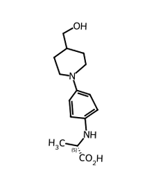 C[C@H](Nc1ccc(N2CCC(CO)CC2)cc1)C(=O)O